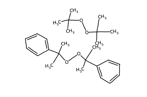 CC(C)(C)OOC(C)(C)C.CC(C)(OOC(C)(C)c1ccccc1)c1ccccc1